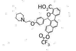 O=C(O)c1cccc2c1OC(c1ccc(OCCN3CCCCC3)cc1)c1c-2ccc2cc(OC(=O)C(F)(F)F)ccc12